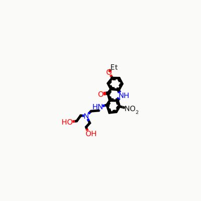 CCOc1ccc2[nH]c3c([N+](=O)[O-])ccc(NCCN(CCO)CCO)c3c(=O)c2c1